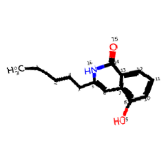 CCCCCc1cc2c(O)cccc2c(=O)[nH]1